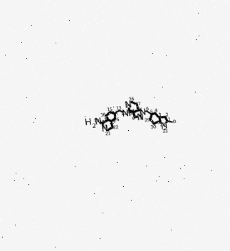 Cc1cc2cc(Cn3ncc4c(NCc5ccc6c(N)nccc6c5)nccc43)ccc2n1C